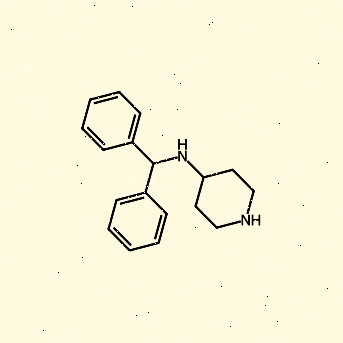 c1ccc(C(NC2CCNCC2)c2ccccc2)cc1